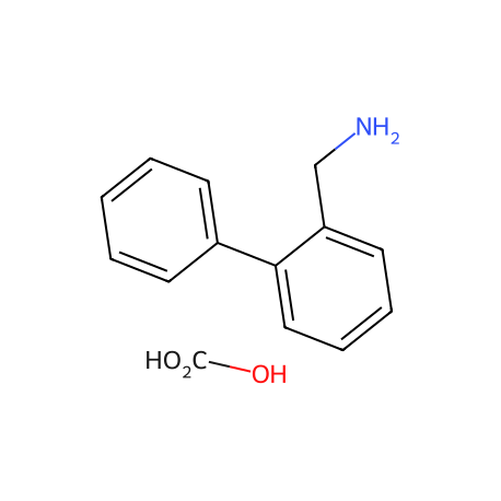 NCc1ccccc1-c1ccccc1.O=C(O)O